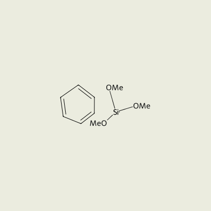 CO[Si](OC)OC.c1ccccc1